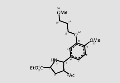 CCOC(=O)C1CC(C(C)=O)C(c2ccc(OC)c(OCCCOC)c2)N1